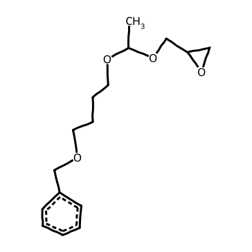 CC(OCCCCOCc1ccccc1)OCC1CO1